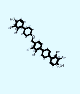 Oc1ccc(C2=CCC(c3ccc(COC4CCC(c5ccc(O)c(F)c5F)CC4)c(F)c3F)CC2)c(F)c1F